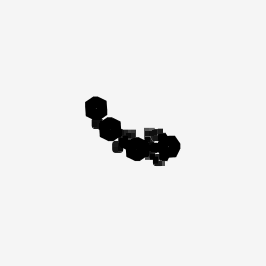 O=C(Nc1ccc(Oc2ccccc2)cc1)c1ccc2nc(-c3c(Cl)cccc3Cl)[nH]c2c1